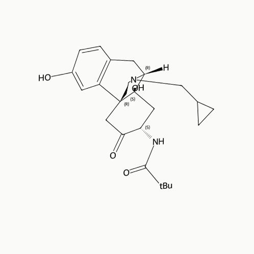 CC(C)(C)C(=O)N[C@H]1C[C@@]2(O)[C@H]3Cc4ccc(O)cc4[C@@]2(CCN3CC2CC2)CC1=O